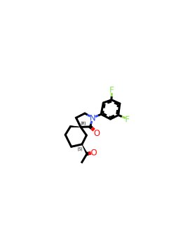 CC(=O)[C@H]1CCC[C@]2(CCN(c3cc(F)cc(F)c3)C2=O)C1